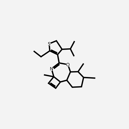 CCC1=C(C2=NC3(C)C=CC3C3CCC(C)C(C)C3O2)C(C(C)C)CS1